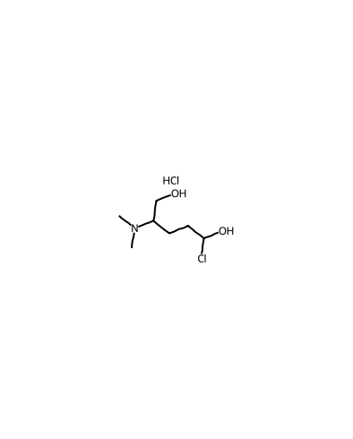 CN(C)C(CO)CCC(O)Cl.Cl